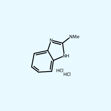 CNc1nc2ccccc2[nH]1.Cl.Cl